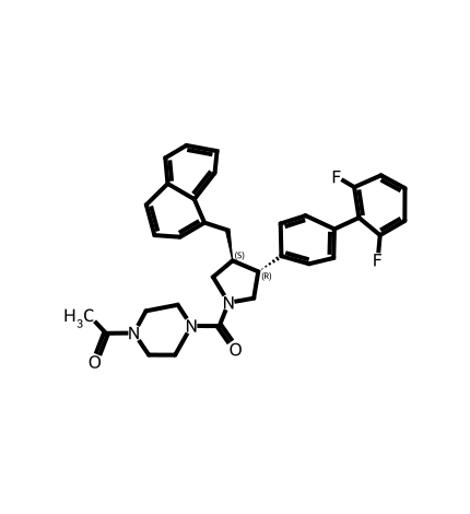 CC(=O)N1CCN(C(=O)N2C[C@@H](Cc3cccc4ccccc34)[C@H](c3ccc(-c4c(F)cccc4F)cc3)C2)CC1